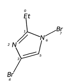 CCc1nc(Br)cn1Br